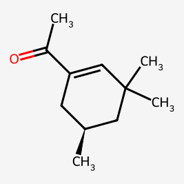 CC(=O)C1=CC(C)(C)C[C@@H](C)C1